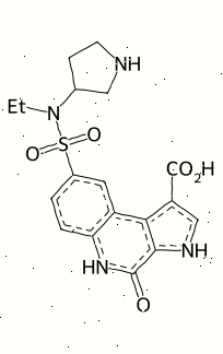 CCN(C1CCNC1)S(=O)(=O)c1ccc2[nH]c(=O)c3[nH]cc(C(=O)O)c3c2c1